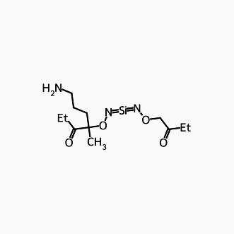 CCC(=O)CON=[Si]=NOC(C)(CCCN)C(=O)CC